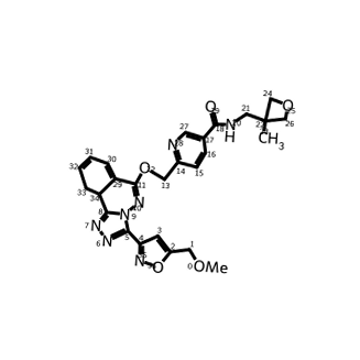 COCc1cc(-c2nnc3n2N=C(OCc2ccc(C(=O)NCC4(C)COC4)cn2)C2=CC=CCC23)no1